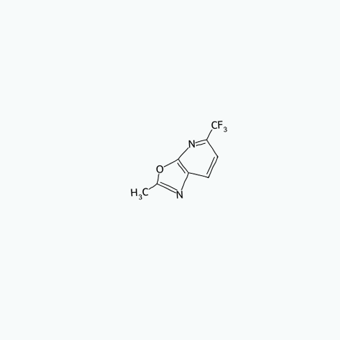 Cc1nc2ccc(C(F)(F)F)nc2o1